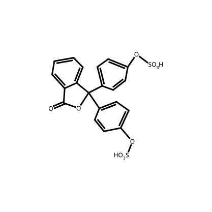 O=C1OC(c2ccc(OS(=O)(=O)O)cc2)(c2ccc(OS(=O)(=O)O)cc2)c2ccccc21